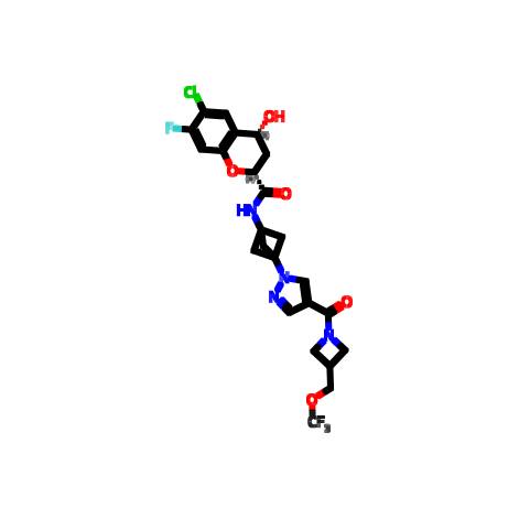 O=C(NC12CC(n3cc(C(=O)N4CC(COC(F)(F)F)C4)cn3)(C1)C2)[C@H]1C[C@@H](O)c2cc(Cl)c(F)cc2O1